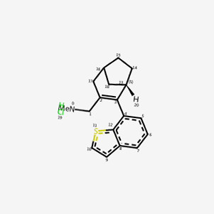 CNCC1=C(c2cccc3ccsc23)[C@H]2CCC(C1)C2.Cl